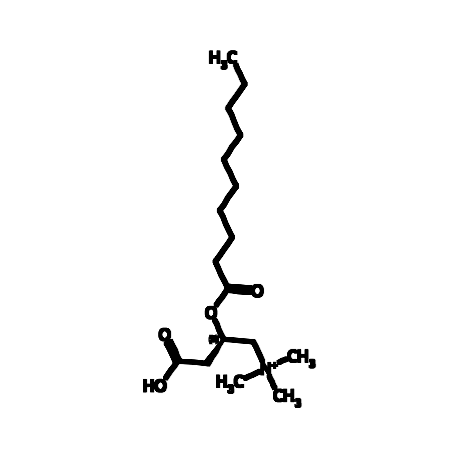 CCCCCCCCCC(=O)O[C@H](CC(=O)O)C[N+](C)(C)C